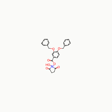 O=C(O[N+]1(O)C(=O)CCC1=O)c1ccc(OCc2ccccc2)c(OCc2ccccc2)c1